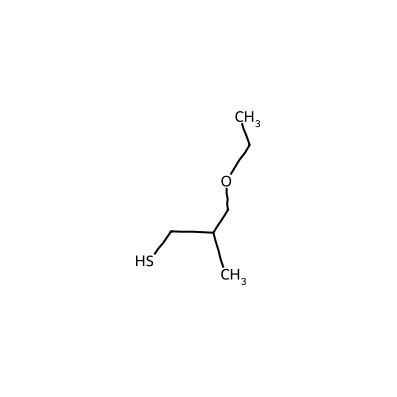 CCOCC(C)CS